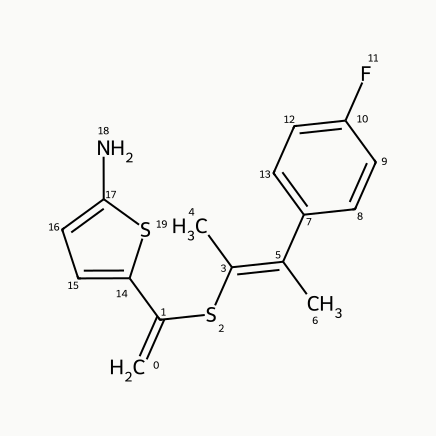 C=C(S/C(C)=C(\C)c1ccc(F)cc1)c1ccc(N)s1